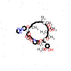 CO[C@@H]1C[C@H](C[C@@H](C)[C@@H]2CC(=O)[C@H](C)/C=C(\C)[C@@H](O)[C@@H](OC)C(=O)[C@H](C)C[C@H](C)/C=C/C=C/C=C(\C)C(OC3CCN(c4ncccn4)CC3)C[C@@H]3CC[C@@H](C)[C@@](O)(O3)C(=O)C(=O)N3CCCC[C@H]3C(=O)O2)CC[C@H]1O